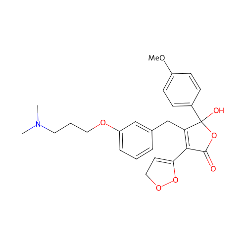 COc1ccc(C2(O)OC(=O)C(C3=CCOO3)=C2Cc2cccc(OCCCN(C)C)c2)cc1